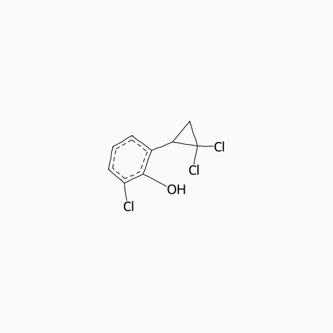 Oc1c(Cl)cccc1C1CC1(Cl)Cl